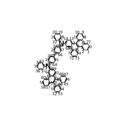 c1ccc(-c2c(-c3ccccc3)c3ccc(N(c4ccccc4)c4ccc(-c5ccc(N(c6ccccc6)c6ccc7c(-c8ccccc8)c(-c8ccccc8)c8ccccc8c7c6)cc5)cc4)cc3c3ccccc23)cc1